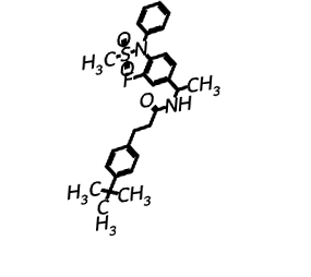 CC(NC(=O)CCc1ccc(C(C)(C)C)cc1)c1ccc(N(c2ccccc2)S(C)(=O)=O)c(F)c1